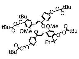 CCC(C)(C)c1cc(/C=C/C(=O)c2ccc(OCOC(=O)C(C)(C)C)cc2)c(OC)cc1OCOC(=O)C(C)(C)C.COc1cc(OCOC(=O)C(C)(C)C)c(C(C)(C)C)cc1/C=C/C(=O)c1ccc(OCOC(=O)C(C)(C)C)cc1